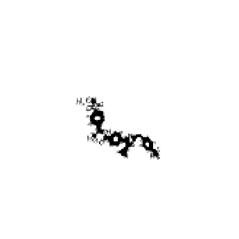 CCS(=O)(=O)c1ccc([C@H](CO)NC(=O)c2ccc(-c3nc(Cc4ccc(C(F)(F)F)cc4)sc3C3CC3)cc2)cc1